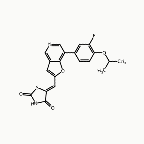 CC(C)Oc1ccc(-c2cncc3cc(/C=C4\SC(=O)NC4=O)oc23)cc1F